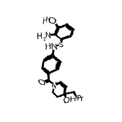 CC(C)CC1(O)CCN(C(=O)c2ccc(NSc3cccc(O)c3N)cc2)CC1